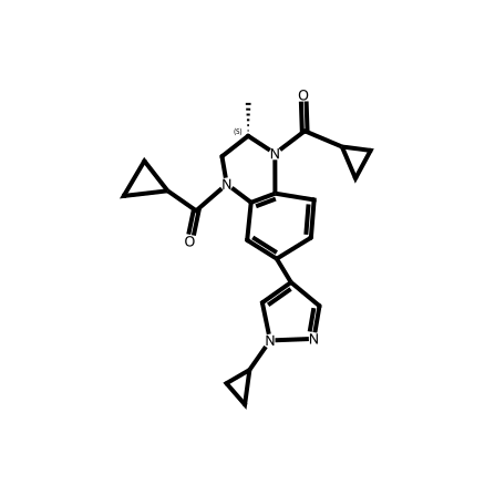 C[C@H]1CN(C(=O)C2CC2)c2cc(-c3cnn(C4CC4)c3)ccc2N1C(=O)C1CC1